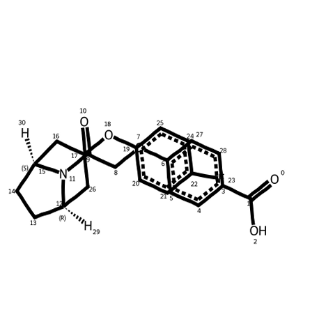 O=C(O)c1ccc(OCC(=O)N2[C@@H]3CC[C@H]2CC(Oc2ccc(F)cc2)C3)cc1